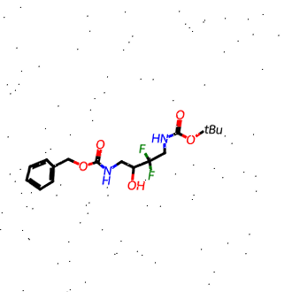 CC(C)(C)OC(=O)NCC(F)(F)C(O)CNC(=O)OCc1ccccc1